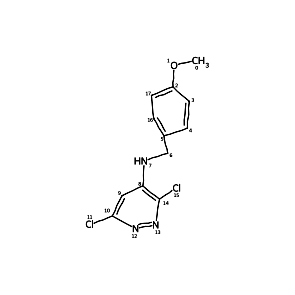 COc1ccc(CNc2cc(Cl)nnc2Cl)cc1